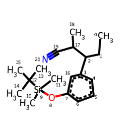 CCC(c1cccc(O[Si](C)(C)C(C)(C)C)c1)C(C)C#N